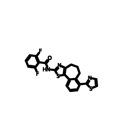 O=C(Nc1nc2c(s1)-c1cccc(-c3nccs3)c1CCC2)c1c(F)cccc1F